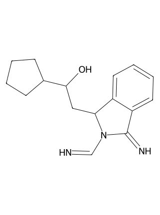 N=CN1C(=N)c2ccccc2C1CC(O)C1CCCC1